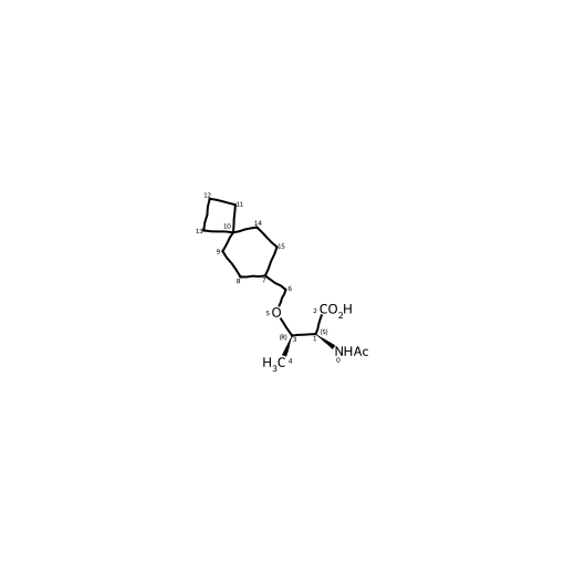 CC(=O)N[C@H](C(=O)O)[C@@H](C)OCC1CCC2(CCC2)CC1